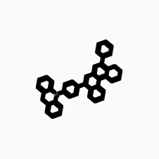 C1=Cc2c(c(-c3ccccc3)cc3cc(-c4ccc(N5c6ccccc6Cc6ccccc65)cc4)c4ccccc4c23)CC1